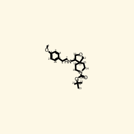 COc1ccc(CCNC2COCC23CCN(C(=O)OC(C)(C)C)CC3)cc1